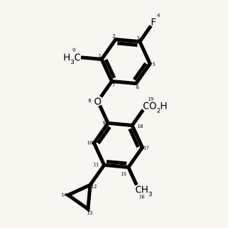 Cc1cc(F)ccc1Oc1cc(C2CC2)c(C)cc1C(=O)O